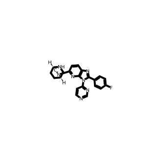 Fc1ccc(-c2nc3ccc(N4C[C@H]5CC[C@@H]4CN5)nc3n2-c2ccncn2)cc1